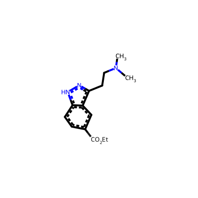 CCOC(=O)c1ccc2[nH]nc(CCN(C)C)c2c1